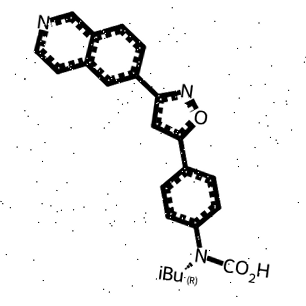 CC[C@@H](C)N(C(=O)O)c1ccc(-c2cc(-c3ccc4cnccc4c3)no2)cc1